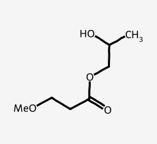 COCCC(=O)OCC(C)O